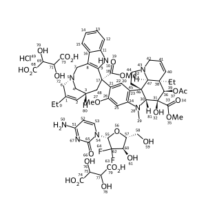 CCC1=C[C@@H]2C[N@](C1)Cc1c([nH]c3ccccc13)[C@@](C(=O)OC)(c1cc3c(cc1OC)N(C)[C@H]1[C@@](O)(C(=O)OC)[C@H](OC(C)=O)[C@]4(CC)C=CCN5CC[C@]31[C@@H]54)C2.Cl.Nc1ccn([C@@H]2O[C@H](CO)[C@@H](O)C2(F)F)c(=O)n1.O=C(O)C(O)C(O)C(=O)O.O=C(O)C(O)C(O)C(=O)O